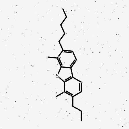 CCCCCc1ccc2c(sc3c(C)c(CCC)ccc32)c1C